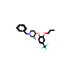 CCCOc1cc(C(F)(F)F)ccc1O[C@@H]1CCN(Cc2ccccc2)C[C@@H]1C